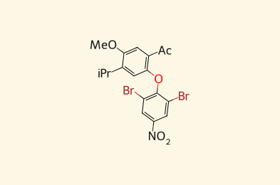 COc1cc(C(C)=O)c(Oc2c(Br)cc([N+](=O)[O-])cc2Br)cc1C(C)C